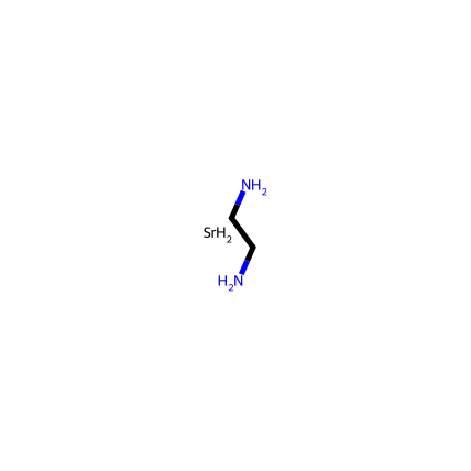 NCCN.[SrH2]